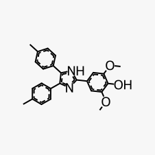 COc1cc(-c2nc(-c3ccc(C)cc3)c(-c3ccc(C)cc3)[nH]2)cc(OC)c1O